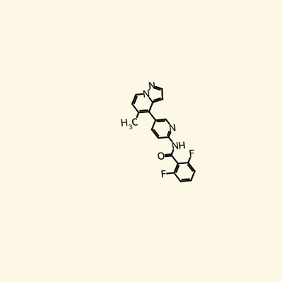 Cc1ccn2nccc2c1-c1ccc(NC(=O)c2c(F)cccc2F)nc1